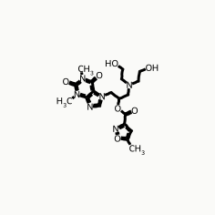 Cc1cc(C(=O)OC(CN(CCO)CCO)Cn2cnc3c2c(=O)n(C)c(=O)n3C)no1